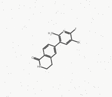 Nc1nc(F)c(Br)cc1-c1ccc2c(c1)CCNC2=O